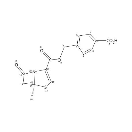 O=C(OCc1ccc(C(=O)O)cc1)C1=CS[C@H]2CC(=O)N12